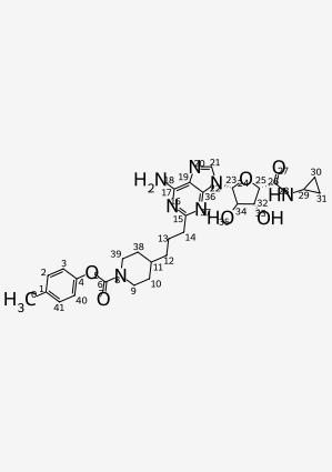 Cc1ccc(OC(=O)N2CCC(CCCc3nc(N)c4ncn([C@@H]5O[C@H](C(=O)NC6CC6)[C@H](O)C5O)c4n3)CC2)cc1